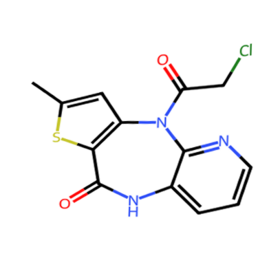 Cc1cc2c(s1)C(=O)Nc1cccnc1N2C(=O)CCl